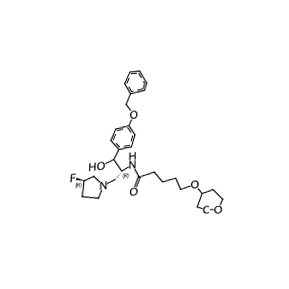 O=C(CCCCOC1CCOCC1)N[C@H](CN1CC[C@@H](F)C1)C(O)c1ccc(OCc2ccccc2)cc1